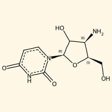 N[C@@H]1C(O)[C@H](n2ccc(=O)[nH]c2=O)O[C@@H]1CO